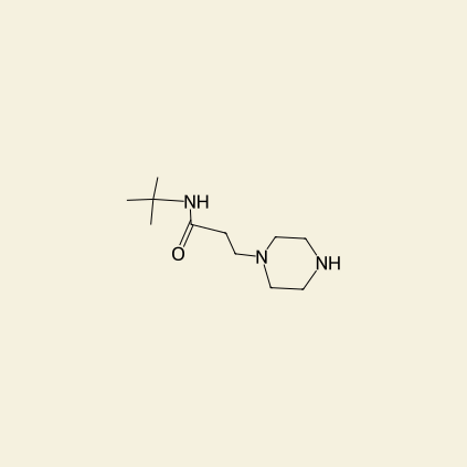 CC(C)(C)NC(=O)CCN1CCNCC1